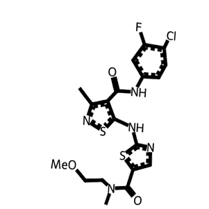 COCCN(C)C(=O)c1cnc(Nc2snc(C)c2C(=O)Nc2ccc(Cl)c(F)c2)s1